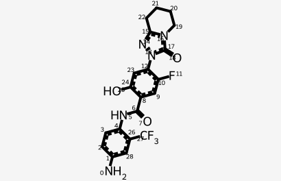 Nc1ccc(NC(=O)c2cc(F)c(-n3nc4n(c3=O)CCCC4)cc2O)c(C(F)(F)F)c1